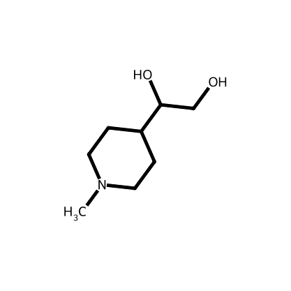 CN1CCC(C(O)CO)CC1